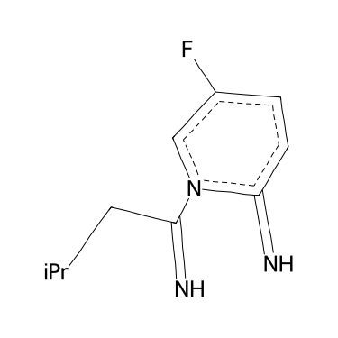 CC(C)CC(=N)n1cc(F)ccc1=N